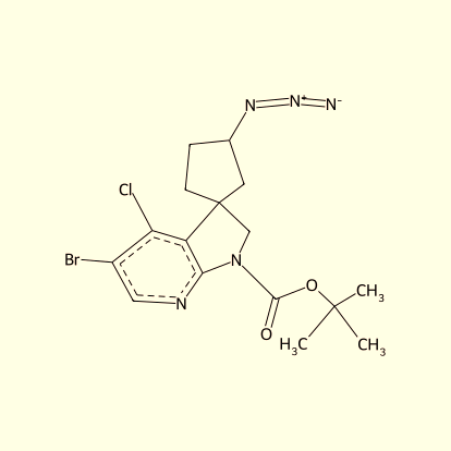 CC(C)(C)OC(=O)N1CC2(CCC(N=[N+]=[N-])C2)c2c1ncc(Br)c2Cl